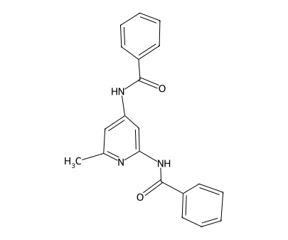 Cc1cc(NC(=O)c2ccccc2)cc(NC(=O)c2ccccc2)n1